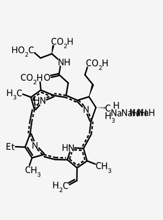 C=Cc1c(C)c2cc3nc(c(CC(=O)N[C@@H](CC(=O)O)C(=O)O)c4[nH]c(cc5nc(cc1[nH]2)C(C)=C5CC)c(C)c4C(=O)O)[C@@H](CCC(=O)O)[C@@H]3C.[NaH].[NaH].[NaH].[NaH]